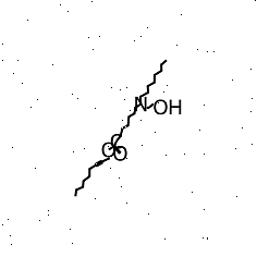 CCCCCCC#CCOC(=O)CCCCCCCN(CCO)CCCCCCCC